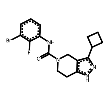 O=C(Nc1cccc(Br)c1F)N1CCc2[nH]nc(C3CCC3)c2C1